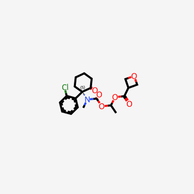 CC(OC(=O)C1COC1)OC(=O)N(C)[C@]1(c2ccccc2Cl)CCCCC1=O